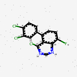 Fc1ccc(-c2ccc(Cl)c(Cl)c2)c2c(Cl)ncnc12